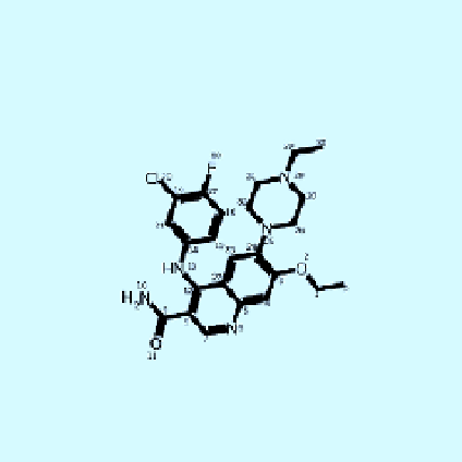 CCOc1cc2ncc(C(N)=O)c(Nc3ccc(F)c(Cl)c3)c2cc1N1CCN(CC)CC1